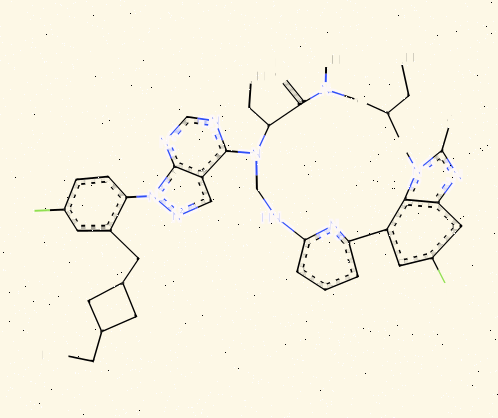 C=C1C(CC)N(c2ncnc3c2cnn3-c2ccc(F)cc2CC2CC(CC)C2)CNc2cccc(n2)-c2cc(F)cc3nc(C)n(c23)CC(CC)CN1C